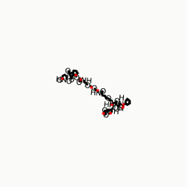 CS(=O)(=O)N1CCC(C(O)N[C@@H](CCOCCCC(=O)NCCOCCOCCNC(=O)COc2cccc3c2C(=O)N(C2CCC(=O)NC2=O)C3=O)C(=O)NC2NC(c3ccccc3)CS2)C1